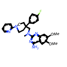 COc1cc2nc(N(C)CC3(c4ccc(F)cc4)CCN(c4ccccn4)CC3)nc(N)c2cc1OC